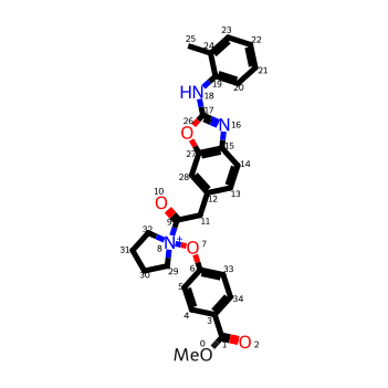 COC(=O)c1ccc(O[N+]2(C(=O)Cc3ccc4nc(Nc5ccccc5C)oc4c3)CCCC2)cc1